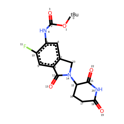 CC(C)(C)OC(=O)Nc1cc2c(cc1F)C(=O)N(C1CCC(=O)NC1=O)C2